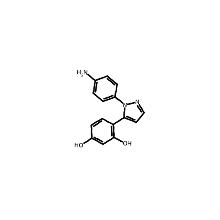 Nc1ccc(-n2nccc2-c2ccc(O)cc2O)cc1